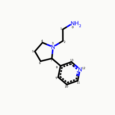 NCCN1CCCC1c1cccnc1